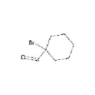 O=[C]C1(Br)CCCCC1